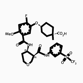 COc1cc(F)c(O[C@H]2CC[C@@](C)(C(=O)O)CC2)cc1C(=O)N[C@@H]1CCOC[C@@H]1C(=O)Nc1cccc(S(=O)(=O)C(F)(F)F)c1